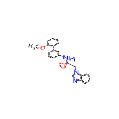 COc1ccccc1-c1cccc(NC(=O)Cn2cnc3ccccc32)c1